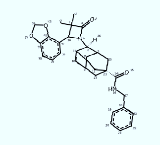 CC1(C)C(=O)N([C@H]2C3CC4CC2C[C@](C(=O)NCc2ccccc2)(C4)C3)C1c1cccc2c1OCO2